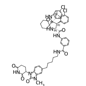 Cn1c(=O)n(C2CCC(=O)NC2=O)c2ccc(CCCCCNC(=O)c3cccc(NC(=O)[C@@H]4NC5(CCCCC5)[C@@]5(C(=O)Nc6cc(Cl)ccc65)[C@H]4c4cccc(Cl)c4F)c3)cc21